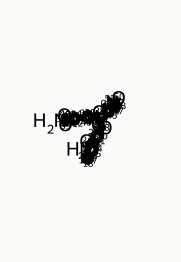 Cc1cc(C[C@@H](OC(=O)N2CCC(N3CCc4ccccc4NC3=O)CC2)C(=O)N2CCC(C3CCN(S(N)(=O)=O)CC3)CC2)cc2ccc(=O)n(C)c12